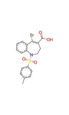 Cc1ccc(S(=O)(=O)N2CCC(C(=O)O)=C(Br)c3ccccc32)cc1